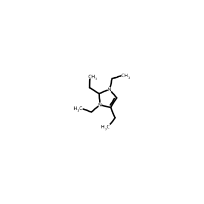 CCC1=CN(CC)C(CC)N1CC